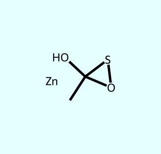 CC1(O)OS1.[Zn]